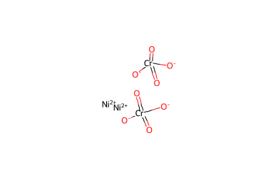 [Ni+2].[Ni+2].[O]=[Cr](=[O])([O-])[O-].[O]=[Cr](=[O])([O-])[O-]